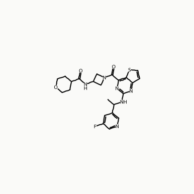 CC(Nc1nc(C(=O)N2CC(NC(=O)C3CCOCC3)C2)c2sccc2n1)c1cncc(F)c1